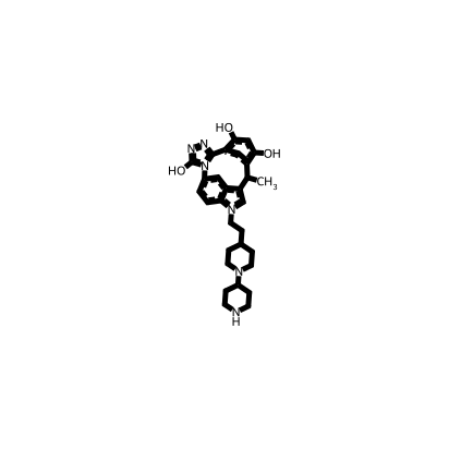 CC1c2cc(c(O)cc2O)-c2nnc(O)n2-c2ccc3c(c2)c1cn3CCC1CCN(C2CCNCC2)CC1